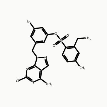 CCc1cc(C)ccc1S(=O)(=O)Oc1cc(Br)cc(Cn2ncc3c(N)nc(Cl)nc32)c1